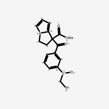 COC(=O)C1(C(=O)c2cccc([S+]([O-])CC(C)C)c2)CCn2cccc21